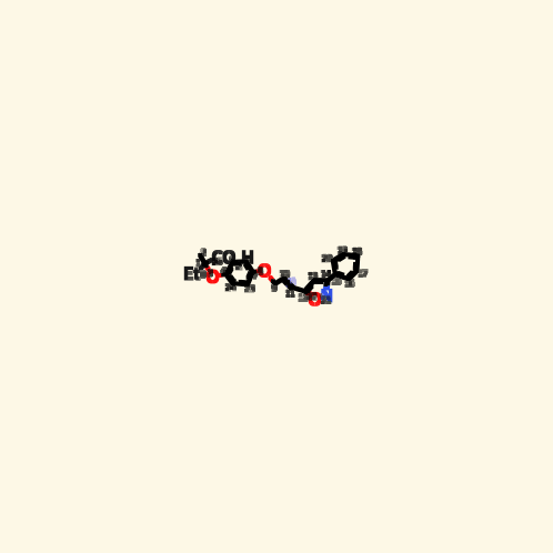 CCC(C)(Oc1ccc(OC/C=C/c2cc(-c3ccccc3)no2)cc1)C(=O)O